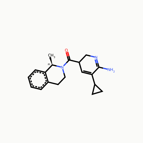 C[C@@H]1c2ccccc2CCN1C(=O)C1C=C(C2CC2)C(N)=NC1